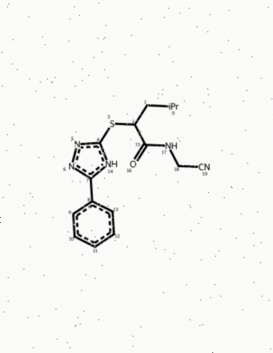 CC(C)CC(Sc1nnc(-c2ccccc2)[nH]1)C(=O)NCC#N